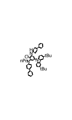 CCCN(c1ccc(-c2ccccc2)cc1)c1cc(-n2c3ccc(C(C)(C)C)cc3c3cc(C(C)(C)C)ccc32)cc(Nc2ccc(-c3ccccc3)cc2)c1Cl